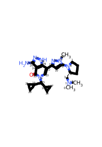 CN(C)C[C@H]1CCCN1c1cc(-c2cn(C(C3CC3)C3CC3)c(=O)c3c(N)n[nH]c23)nn1C